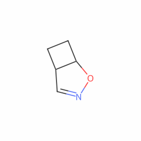 C1=NOC2CCC12